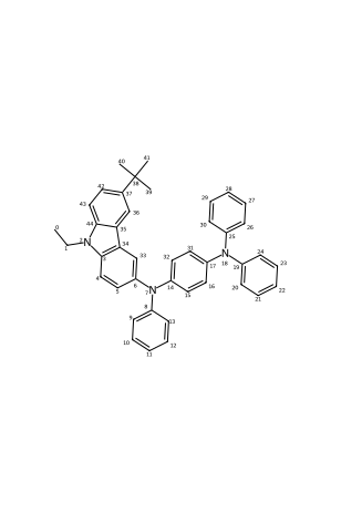 CCn1c2ccc(N(c3ccccc3)c3ccc(N(c4ccccc4)c4ccccc4)cc3)cc2c2cc(C(C)(C)C)ccc21